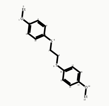 CCOc1ccc(SCCSc2ccc(OCC)cc2)cc1